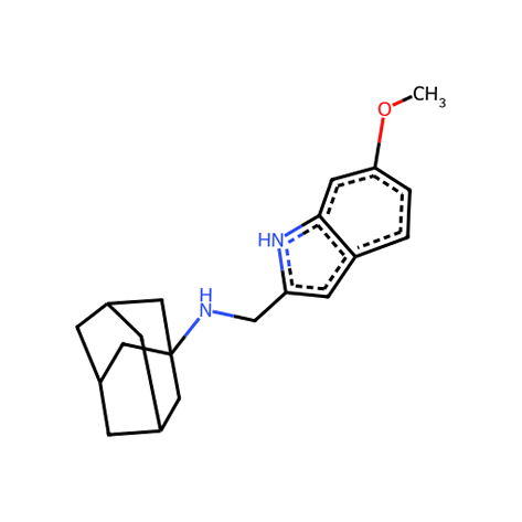 COc1ccc2cc(CNC34CC5CC(CC(C5)C3)C4)[nH]c2c1